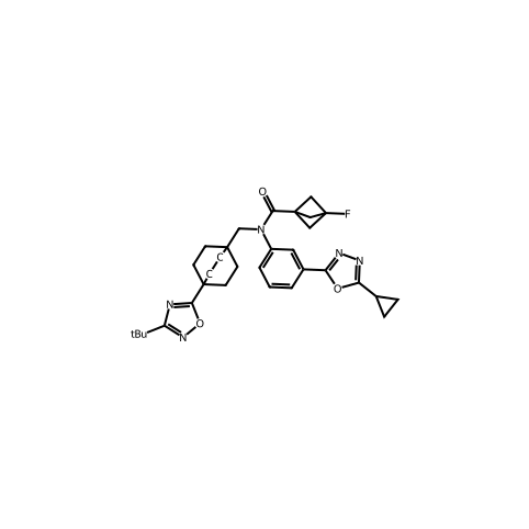 CC(C)(C)c1noc(C23CCC(CN(C(=O)C45CC(F)(C4)C5)c4cccc(-c5nnc(C6CC6)o5)c4)(CC2)CC3)n1